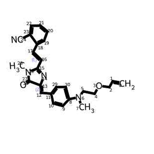 C=CCOCCN(C)c1ccc(/C=C2N=C(/C=C/c3ccccc3C#N)N(C)C\2=O)cc1